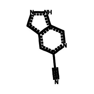 N#Cc1cc2cn[nH]c2cn1